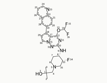 CC(C)(O)CN1CC[C@H](Nc2nc(OC(F)F)c3c(-c4ccc5ncccc5c4)ccn3n2)[C@H](F)C1